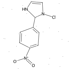 O=[N+]([O-])c1ccc(C2NC=CN2Cl)cc1